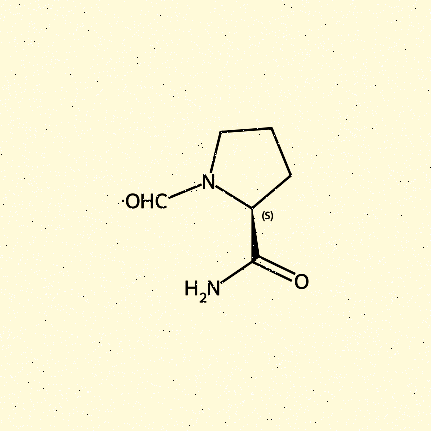 NC(=O)[C@@H]1CCCN1[C]=O